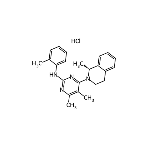 Cc1ccccc1Nc1nc(C)c(C)c(N2CCc3ccccc3[C@@H]2C)n1.Cl